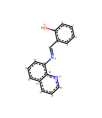 Oc1ccccc1/C=N/c1cccc2cccnc12